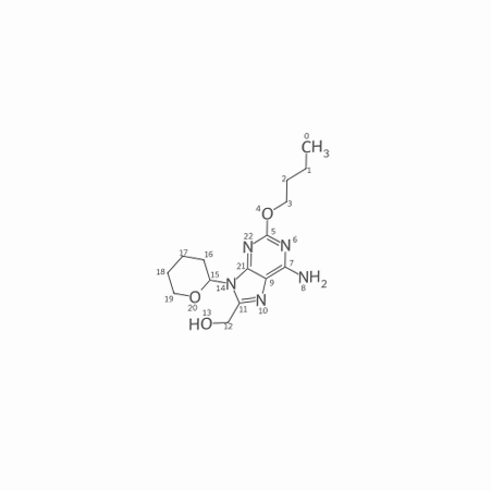 CCCCOc1nc(N)c2nc(CO)n(C3CCCCO3)c2n1